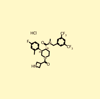 Cc1cc(F)ccc1[C@@H]1CN(C(=O)C2CNC2)CC[C@H]1C(=O)N(C)Cc1cc(C(F)(F)F)cc(C(F)(F)F)c1.Cl